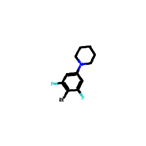 [CH2]Cc1c(F)cc(N2CCCCC2)cc1F